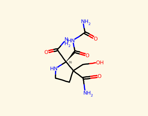 NC(=O)NC(=O)[C@]1(C(N)=O)NCCC1(CO)C(N)=O